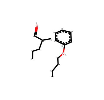 CCCC(C)C=O.CCCCOc1ccccc1